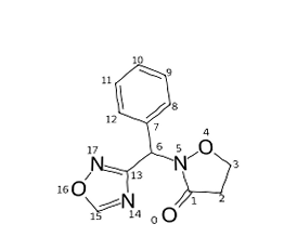 O=C1CCON1C(c1ccccc1)c1ncon1